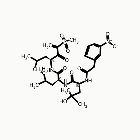 C=C(C(=O)[C@H](CC(C)C)NC(=O)[C@H](CC(C)C)NC(=O)[C@H](CC(C)(C)O)NC(=O)Cc1cccc([N+](=O)[O-])c1)S(C)(=O)=O